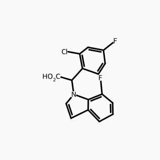 O=C(O)C(c1ccc(F)cc1Cl)n1ccc2cccc(F)c21